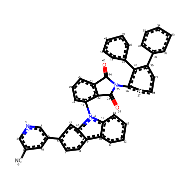 N#Cc1cncc(-c2ccc3c4ccccc4n(-c4cccc5c4C(=O)N(c4cccc(-c6ccccc6)c4-c4ccccc4)C5=O)c3c2)c1